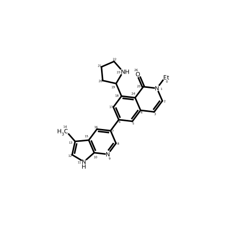 CCn1ccc2cc(-c3cnc4[nH]cc(C)c4c3)cc(C3CCCN3)c2c1=O